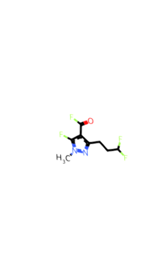 Cn1nc(CCC(F)F)c(C(=O)F)c1F